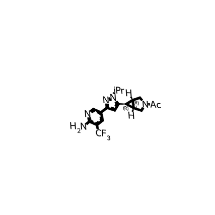 CC(=O)N1C[C@@H]2[C@H](C1)[C@H]2c1cc(-c2cnc(N)c(C(F)(F)F)c2)nn1C(C)C